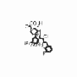 CC(=O)NC(Cc1cccc(F)c1F)C(O)CNC1(c2cccc(C(C)C)c2)CCN(C(=O)C(=O)O)CC1